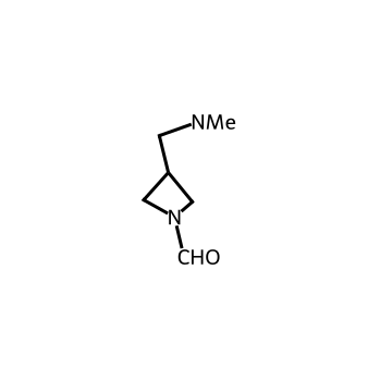 CNCC1CN(C=O)C1